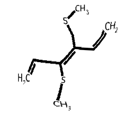 C=C/C(SC)=C(/C=C)SC